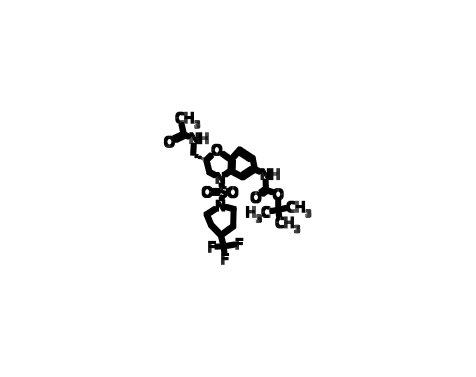 CC(=O)NC[C@H]1CN(S(=O)(=O)N2CCC(C(F)(F)F)CC2)c2cc(NC(=O)OC(C)(C)C)ccc2O1